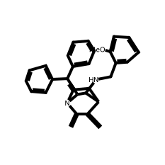 C=C1C(=C)N2C(=C)CC1C(NCc1ccccc1OC)C2C(c1ccccc1)c1ccccc1